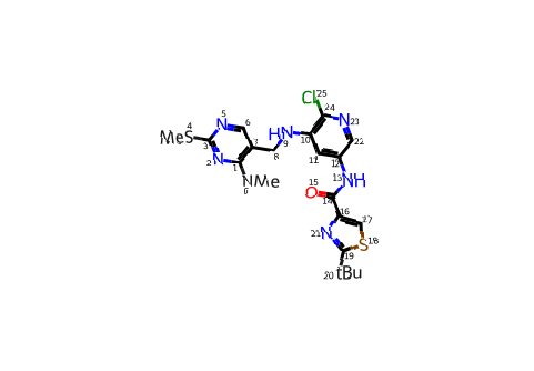 CNc1nc(SC)ncc1CNc1cc(NC(=O)c2csc(C(C)(C)C)n2)cnc1Cl